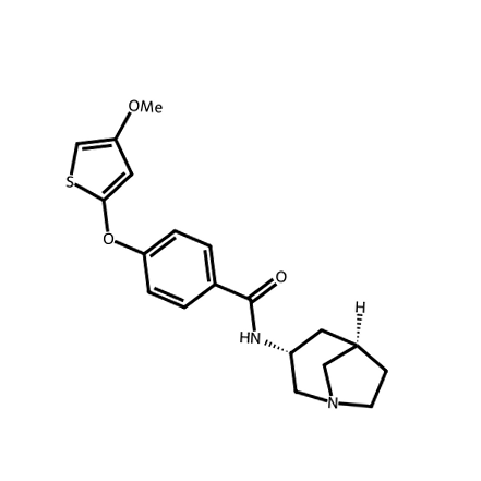 COc1csc(Oc2ccc(C(=O)N[C@@H]3C[C@H]4CCN(C4)C3)cc2)c1